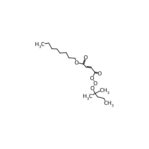 CCCCCCCCOC(=O)C=CC(=O)OOOC(C)(C)CCC